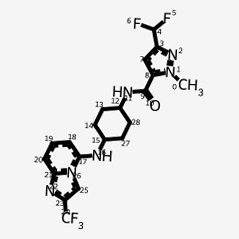 Cn1nc(C(F)F)cc1C(=O)NC1CCC(Nc2cccc3nc(C(F)(F)F)cn23)CC1